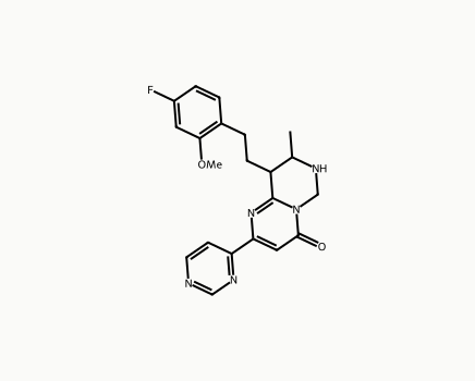 COc1cc(F)ccc1CCC1c2nc(-c3ccncn3)cc(=O)n2CNC1C